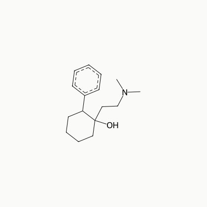 CN(C)CCC1(O)CCCCC1c1ccccc1